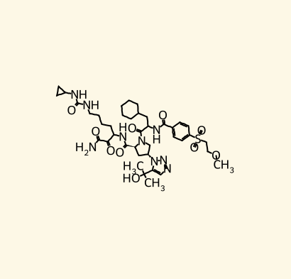 COCCS(=O)(=O)c1ccc(C(=O)NC(CC2CCCCC2)C(=O)N2C[C@@H](n3nncc3C(C)(C)O)C[C@H]2C(=O)NC(CCCCNC(=O)NC2CC2)C(=O)C(N)=O)cc1